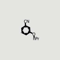 CCCOc1c[c]cc(C#N)c1